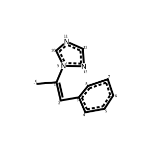 [CH2]C(=Cc1ccccc1)n1cncn1